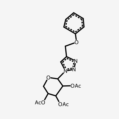 CC(=O)OC1COC(n2cc(COc3ccccc3)nn2)C(OC(C)=O)C1OC(C)=O